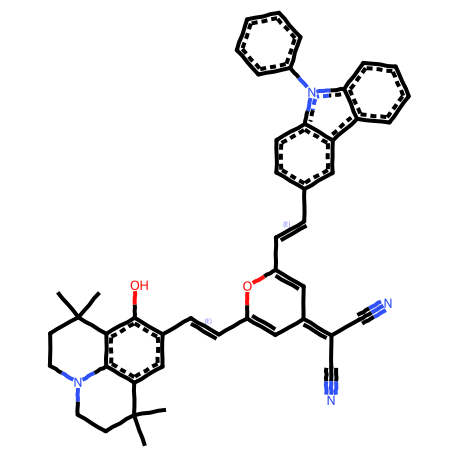 CC1(C)CCN2CCC(C)(C)c3c(O)c(/C=C/C4=CC(=C(C#N)C#N)C=C(/C=C/c5ccc6c(c5)c5ccccc5n6-c5ccccc5)O4)cc1c32